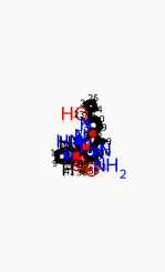 Cc1n[nH]c(C(=O)N2[C@@H]3CC[C@H]2CC(c2nc4c(-c5ccc(C6(O)CCC6)nc5)cnn4c(N)c2S(C)(=O)=O)C3)n1